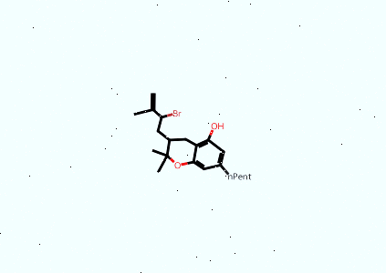 C=C(C)C(Br)CC1Cc2c(O)cc(CCCCC)cc2OC1(C)C